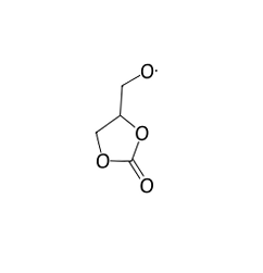 [O]CC1COC(=O)O1